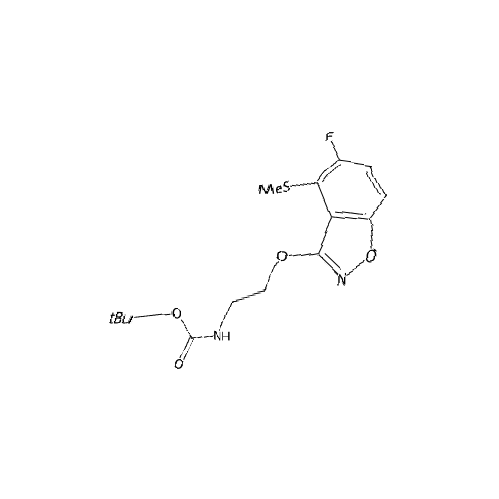 CSc1c(F)ccc2onc(OCCNC(=O)OC(C)(C)C)c12